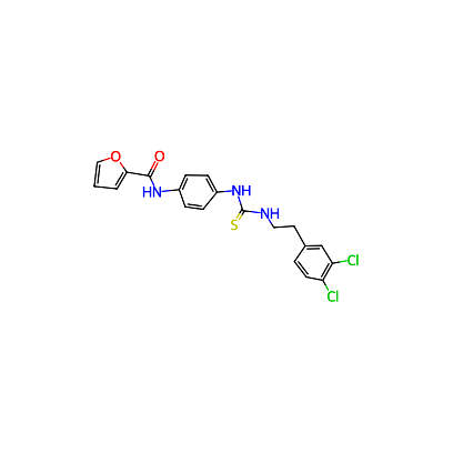 O=C(Nc1ccc(NC(=S)NCCc2ccc(Cl)c(Cl)c2)cc1)c1ccco1